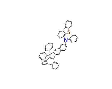 c1ccc(N(c2ccc3cc4c(cc3c2)C2(c3ccccc3-c3ccccc32)c2c-4c3ccccc3c3ccccc23)c2cccc3c2sc2ccccc23)cc1